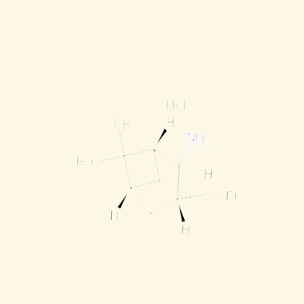 CCOC(=O)[C@@H]1C[C@H]2C[C@@H]([C@H]1N)C2(C)C.Cl